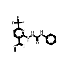 COC(=O)c1ccc(C(F)(F)F)nc1NNC(=O)Nc1ccccc1